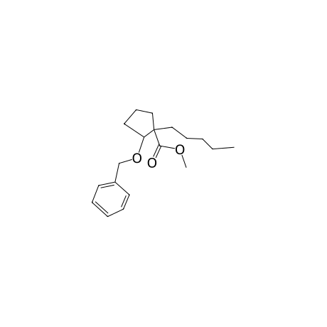 CCCCCC1(C(=O)OC)CCCC1OCc1ccccc1